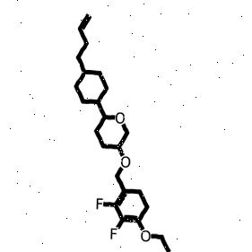 C=CCCC1CCC(C2CCC(OCC3=C(F)C(F)=C(OCC)CC3)CO2)CC1